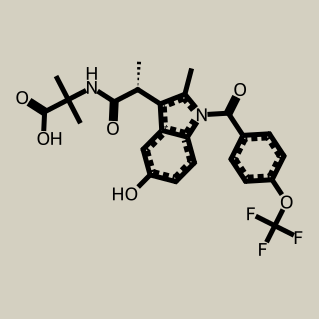 Cc1c([C@@H](C)C(=O)NC(C)(C)C(=O)O)c2cc(O)ccc2n1C(=O)c1ccc(OC(F)(F)F)cc1